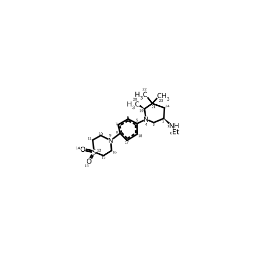 CCN[C@H]1CN(c2ccc(N3CCS(=O)(=O)CC3)cc2)[C@@H](C)C(C)(C)C1